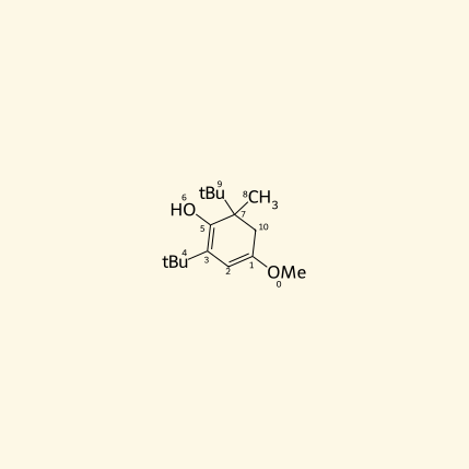 COC1=CC(C(C)(C)C)=C(O)C(C)(C(C)(C)C)C1